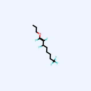 CCCOC(F)=C(F)C(F)CCCCC(F)(F)F